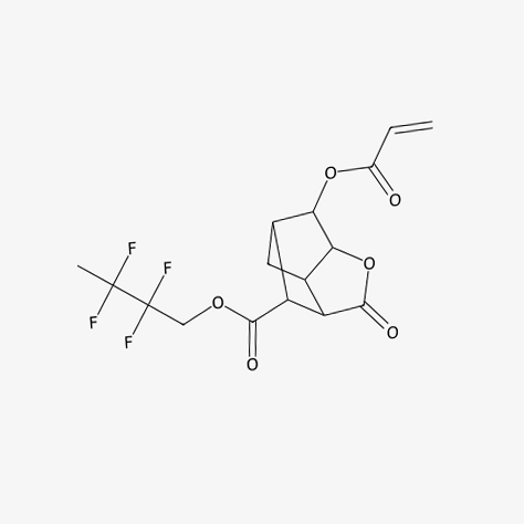 C=CC(=O)OC1C2CC3C1OC(=O)C3C2C(=O)OCC(F)(F)C(C)(F)F